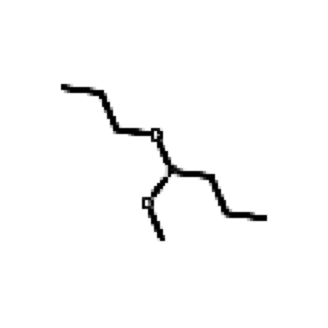 CCCOP(CCC)OC